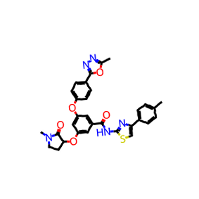 Cc1ccc(-c2csc(NC(=O)c3cc(Oc4ccc(-c5nnc(C)o5)cc4)cc(OC4CCN(C)C4=O)c3)n2)cc1